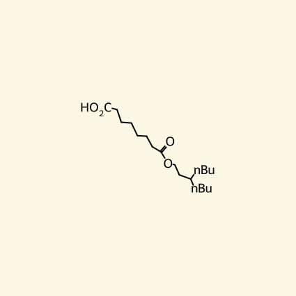 CCCCC(CCCC)CCOC(=O)CCCCCCC(=O)O